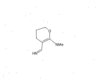 CNC1=C(C=N)CCCO1